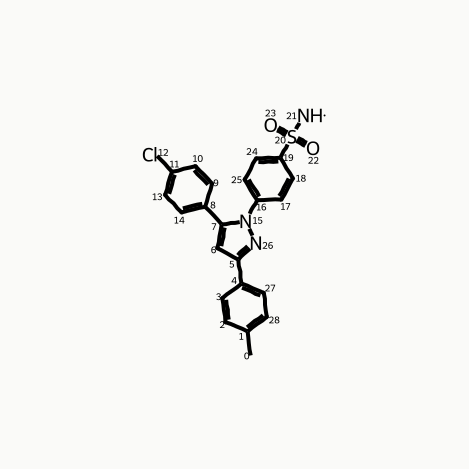 Cc1ccc(-c2cc(-c3ccc(Cl)cc3)n(-c3ccc(S([NH])(=O)=O)cc3)n2)cc1